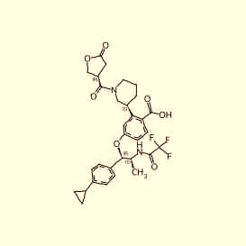 C[C@H](NC(=O)C(F)(F)F)[C@H](Oc1ccc(C(=O)O)c([C@@H]2CCCN(C(=O)[C@H]3COC(=O)C3)C2)c1)c1ccc(C2CC2)cc1